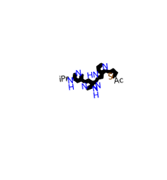 CC(=O)c1ccc(-c2nccc3[nH]c(-c4n[nH]c5cnc(-c6cncc(NC(C)C)c6)cc45)cc23)s1